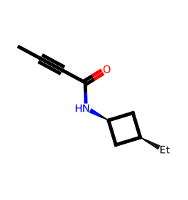 CC#CC(=O)N[C@H]1C[C@@H](CC)C1